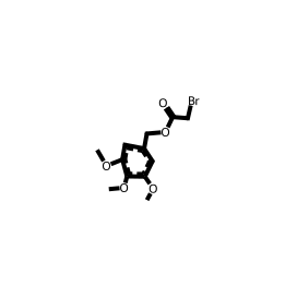 COc1cc(COC(=O)CBr)cc(OC)c1OC